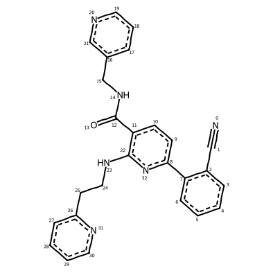 N#Cc1ccccc1-c1ccc(C(=O)NCc2cccnc2)c(NCCc2ccccn2)n1